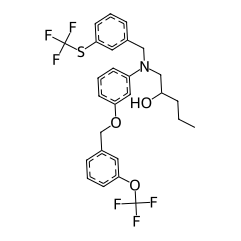 CCCC(O)CN(Cc1cccc(SC(F)(F)F)c1)c1cccc(OCc2cccc(OC(F)(F)F)c2)c1